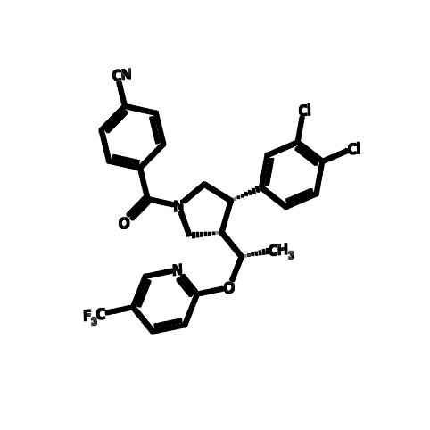 C[C@H](Oc1ccc(C(F)(F)F)cn1)[C@@H]1CN(C(=O)c2ccc(C#N)cc2)C[C@@H]1c1ccc(Cl)c(Cl)c1